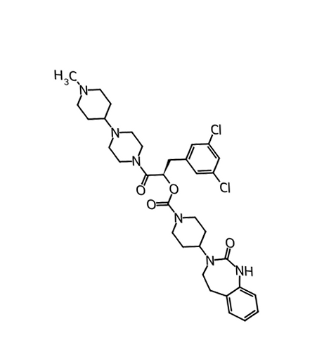 CN1CCC(N2CCN(C(=O)[C@@H](Cc3cc(Cl)cc(Cl)c3)OC(=O)N3CCC(N4CCc5ccccc5NC4=O)CC3)CC2)CC1